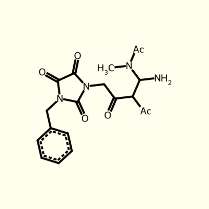 CC(=O)C(C(=O)CN1C(=O)C(=O)N(Cc2ccccc2)C1=O)C(N)N(C)C(C)=O